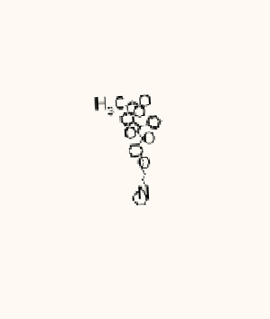 Cc1cc(=O)oc2c1ccc1oc(C(=O)c3cccc(OCCCCN4CCCCC4)c3)c(-c3ccccc3)c12